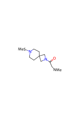 CNCC(=O)N1CC2(CCN(SC)CC2)C1